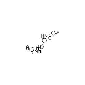 Cc1cc(N(C)C)ccc1Nc1nc2ccc(-c3ccc(NC(=O)Cc4ccc(F)cc4)cc3)cn2n1